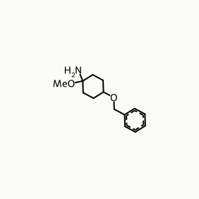 COC1(N)CCC(OCc2ccccc2)CC1